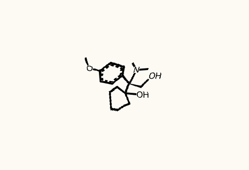 COc1ccc([C@](CO)(N(C)C)C2(O)CCCCC2)cc1